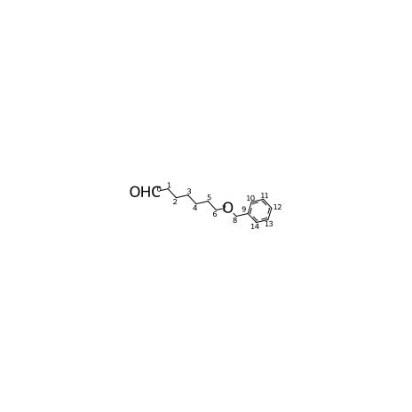 O=CCCCCCCOCc1ccccc1